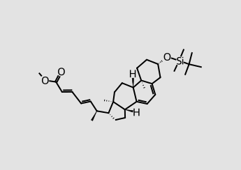 COC(=O)/C=C/C=C/[C@H](C)[C@H]1CC[C@H]2C3=CC=C4C[C@@H](O[Si](C)(C)C(C)(C)C)CC[C@]4(C)[C@H]3CC[C@]12C